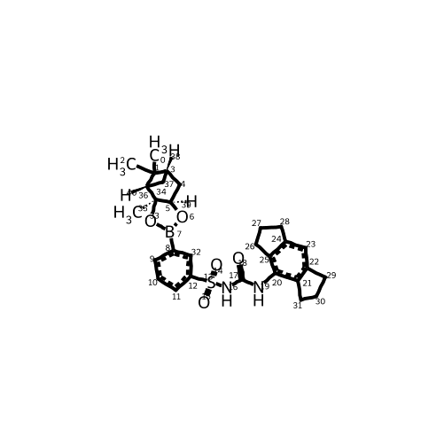 CC1(C)[C@@H]2C[C@H]3OB(c4cccc(S(=O)(=O)NC(=O)Nc5c6c(cc7c5CCC7)CCC6)c4)O[C@@]3(C)[C@H]1C2